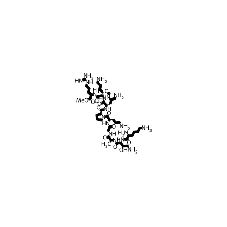 C=CN/C(=C\N)C[C@H](NC(=O)[C@@H]1CCCN1C(=O)[C@@H](CCCN)NC(=O)CNC(=O)[C@H](C)NC(=O)[C@@H](NC(=O)C(N)CCCCN)[C@@H](O)CN)C(=O)N[C@@H](CCCCN)C(=O)N/C(=C\CCNC(=N)N)C(=O)OC